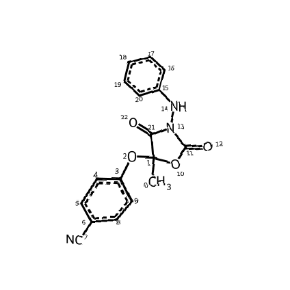 CC1(Oc2ccc(C#N)cc2)OC(=O)N(Nc2ccccc2)C1=O